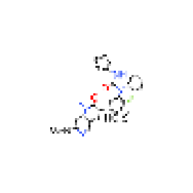 CNc1cc2c(cn1)cc(-c1ccc(F)c(N(C(=O)Nc3ccccc3)c3ccccc3)c1)c(=O)n2C.CS(=O)(=O)O